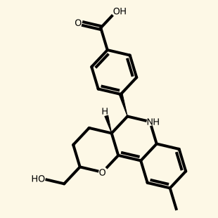 CC1=CC2=C3OC(CO)CC[C@@H]3[C@@H](c3ccc(C(=O)O)cc3)NC2C=C1